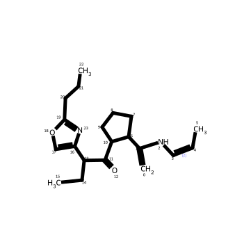 C=C(N/C=C\C)C1CCCC1C(=O)C(CC)c1coc(CCC)n1